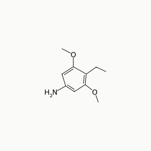 CCc1c(OC)cc(N)cc1OC